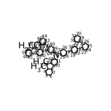 CC1(C)c2ccccc2-c2ccc(N(c3ccc(-c4ccc(-c5ccccc5-c5ccccc5)cc4)cc3)c3ccc(-c4ccccc4-c4cccc5c4C(C)(C)c4ccccc4-5)cc3)cc21